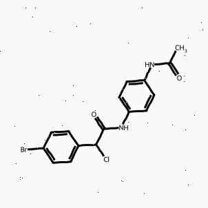 CC(=O)Nc1ccc(NC(=O)C(Cl)c2ccc(Br)cc2)cc1